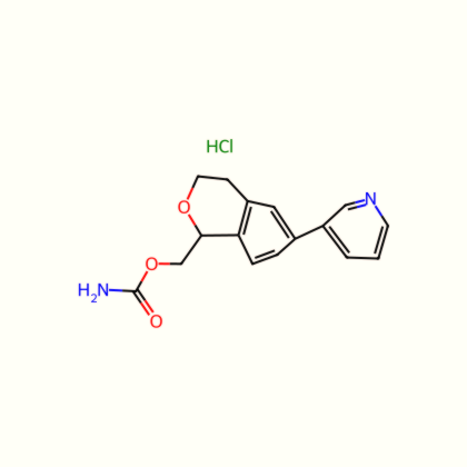 Cl.NC(=O)OCC1OCCc2cc(-c3cccnc3)ccc21